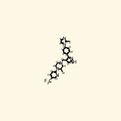 Cc1nccn1-c1ccc(-c2n[nH]cc2CN2CCN(c3ccc(C(F)(F)F)cn3)C(C)C2)cc1